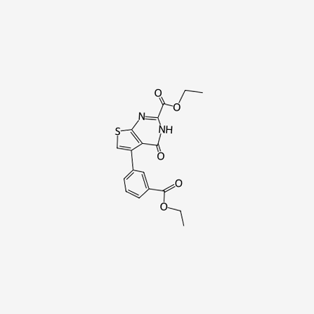 CCOC(=O)c1cccc(-c2csc3nc(C(=O)OCC)[nH]c(=O)c23)c1